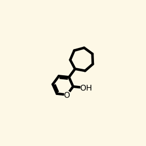 OC1OC=CC=C1C1CCCCCC1